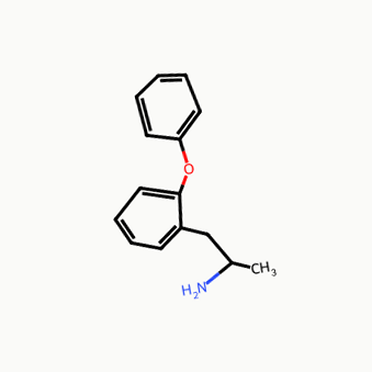 CC(N)Cc1ccccc1Oc1ccccc1